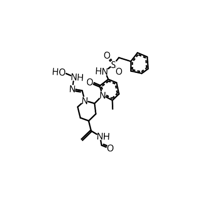 C=C(NC=O)C1CCN(C=NNO)C(n2c(C)ccc(NS(=O)(=O)Cc3ccccc3)c2=O)C1